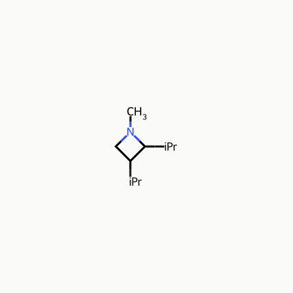 CC(C)C1CN(C)C1C(C)C